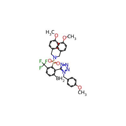 Bc1ccc(C(F)(F)F)c(S(=O)(=O)N(Cc2ccc(OC)cc2)Cc2ccc(OC)cc2)c1-c1nnnn1Cc1ccc(OC)cc1